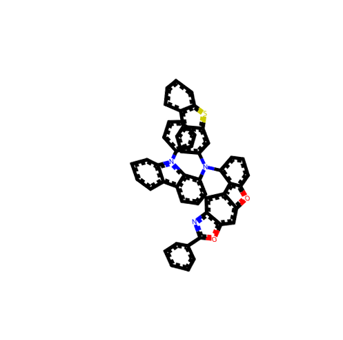 c1ccc(-c2nc3cc4c(cc3o2)oc2cccc(N(c3ccc5c(c3)sc3ccccc35)c3cccc5c6ccccc6n(-c6ccccc6)c35)c24)cc1